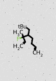 C=CCCC(CC(C)(C)C)C(C)(F)C=C